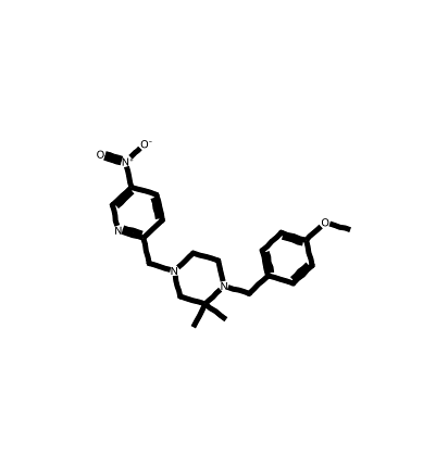 COc1ccc(CN2CCN(Cc3ccc([N+](=O)[O-])cn3)CC2(C)C)cc1